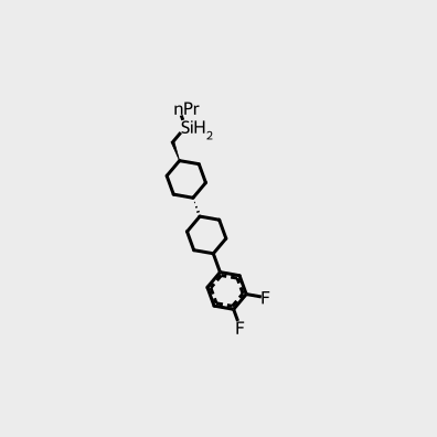 CCC[SiH2]C[C@H]1CC[C@H](C2CCC(c3ccc(F)c(F)c3)CC2)CC1